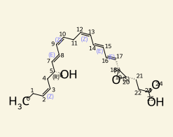 CC/C=C\C[C@@H](O)/C=C/C=C\C\C=C/C=C/C=C/[C@H]1O[C@H]1CCC(=O)O